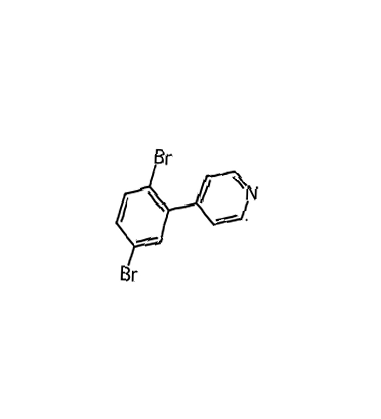 Brc1ccc(Br)c(-c2c[c]ncc2)c1